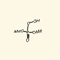 COP(=O)(OC)OO